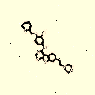 Clc1cc(Nc2ncnc3sc4c(c23)CCC(CCN2CCOCC2)C4)ccc1OCc1ccccn1